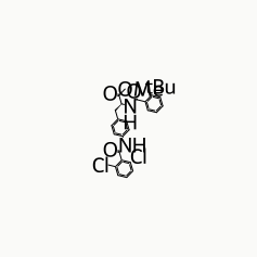 COC(=O)[C@H](Cc1ccc(NC(=O)c2c(Cl)cccc2Cl)cc1)NC(=O)c1ccccc1C(C)(C)C